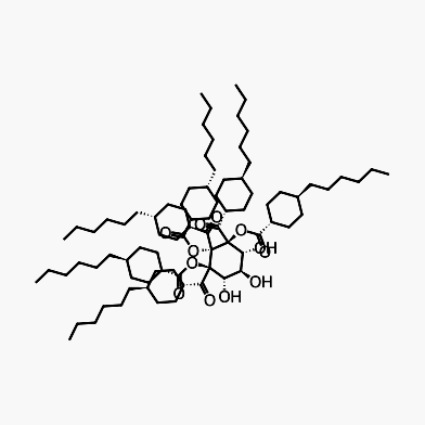 CCCCCC[C@H]1CC[C@H](C(=O)O[C@@]2(C(=O)[C@H]3CC[C@H](CCCCCC)CC3)[C@@](OC(=O)[C@H]3CC[C@H](CCCCCC)CC3)(C(=O)[C@H]3CC[C@H](CCCCCC)CC3)[C@@H](O)[C@H](O)[C@@H](O)[C@@]2(OC(=O)[C@H]2CC[C@H](CCCCCC)CC2)C(=O)[C@H]2CC[C@H](CCCCCC)CC2)CC1